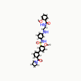 COc1ccccc1C(=O)NCCNc1cccc(N[S+]([O-])c2cc(-c3cccc(C(=O)N4CCCC4)c3)ccc2OC)c1